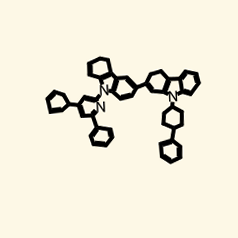 C1=CCC(c2cc(-c3ccccc3)nc(-n3c4c(c5cc(C6=Cc7c(c8ccccc8n7C7CCC(c8ccccc8)CC7)CC6)ccc53)CCC=C4)c2)C=C1